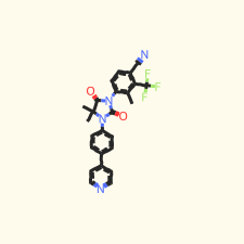 Cc1c(N2C(=O)N(c3ccc(-c4ccncc4)cc3)C(C)(C)C2=O)ccc(C#N)c1C(F)(F)F